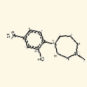 CN1CCCN(c2ccc([N+](=O)[O-])cc2Cl)CC1